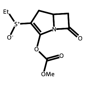 CC[S+]([O-])C1=C(OC(=O)OC)N2C(=O)CC2C1